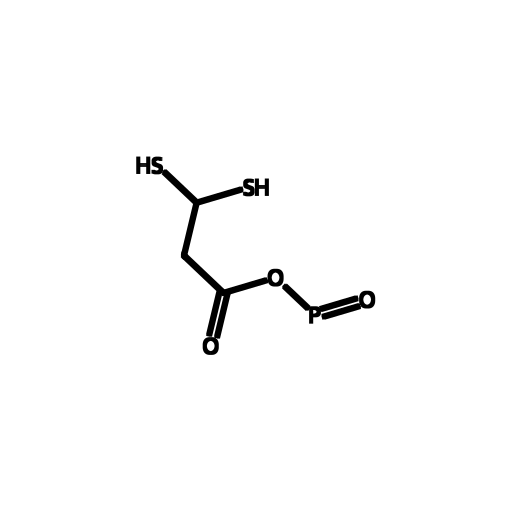 O=POC(=O)CC(S)S